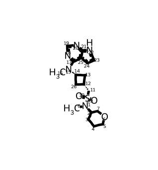 CN(C1CCCOC1)S(=O)(=O)C[C@H]1C[C@@H](N(C)c2ncnc3[nH]ccc23)C1